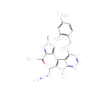 COC(=O)c1nn(C)cc1-c1c(CN=[N+]=[N-])n(C(C)C)c2ncnc(NCc3ccc(OC)cc3OC)c12